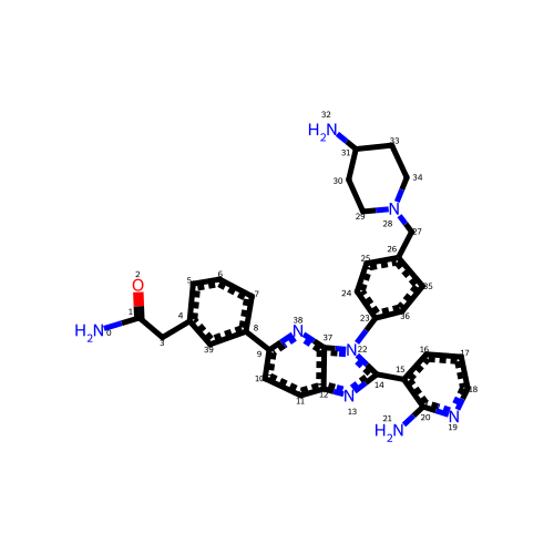 NC(=O)Cc1cccc(-c2ccc3nc(-c4cccnc4N)n(-c4ccc(CN5CCC(N)CC5)cc4)c3n2)c1